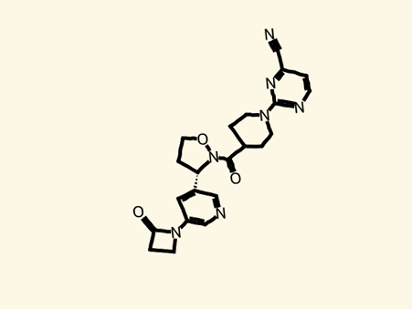 N#Cc1ccnc(N2CCC(C(=O)N3OCC[C@H]3c3cncc(N4CCC4=O)c3)CC2)n1